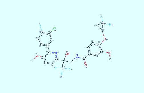 COc1cc(C(=O)NCC(O)(c2ccc(OC)c(-c3ccc(F)c(Cl)c3)n2)C(F)(F)F)ccc1OC1CC1(F)F